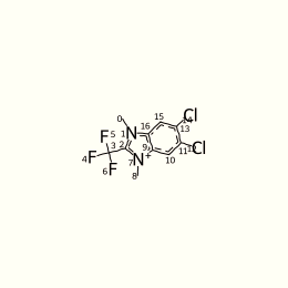 Cn1c(C(F)(F)F)[n+](C)c2cc(Cl)c(Cl)cc21